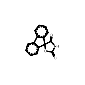 O=C1NC(=O)C2(O1)c1ccccc1-c1ccccc12